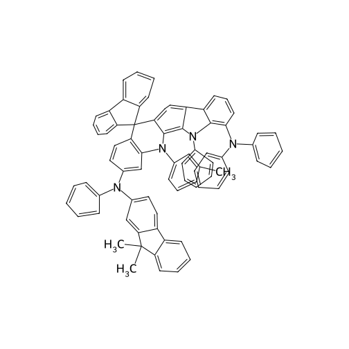 Cc1cccc(N2c3cc(N(c4ccccc4)c4ccc5c(c4)C(C)(C)c4ccccc4-5)ccc3C3(c4ccccc4-c4ccccc43)c3ccc4c5cccc(N(c6ccccc6)c6ccccc6)c5n(-c5ccccc5)c4c32)c1